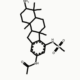 CC(=O)Nc1cc2c(c(NS(C)(=O)=O)c1)C1(C)CCC3C(C)(C)C(N)CCC3(C)C1C2